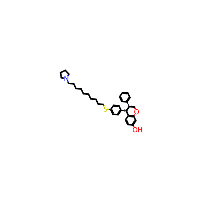 Oc1ccc2c(c1)OC[C@H](c1ccccc1)[C@@H]2c1ccc(SCCCCCCCCCCN2CCCC2)cc1